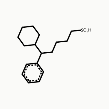 O=S(=O)(O)CCCCC(c1ccccc1)C1CCCCC1